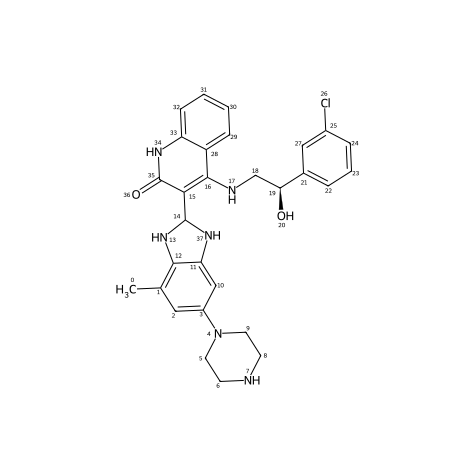 Cc1cc(N2CCNCC2)cc2c1NC(c1c(NC[C@H](O)c3cccc(Cl)c3)c3ccccc3[nH]c1=O)N2